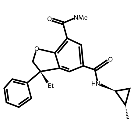 CC[C@@]1(c2ccccc2)COc2c(C(=O)NC)cc(C(=O)N[C@H]3C[C@@H]3C)cc21